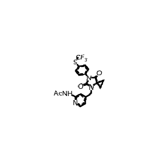 CC(=O)Nc1cc(CN2C(=O)N(c3ccc(SC(F)(F)F)cc3)C(=O)C23CC3)ccn1